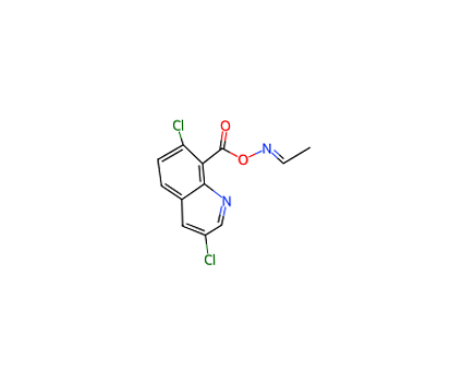 CC=NOC(=O)c1c(Cl)ccc2cc(Cl)cnc12